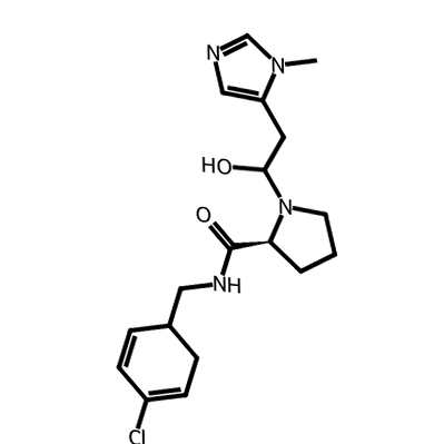 Cn1cncc1CC(O)N1CCC[C@H]1C(=O)NCC1C=CC(Cl)=CC1